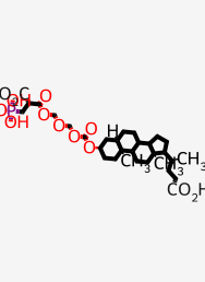 C[C@H](CCC(=O)O)C1CCC2C3CC[C@@H]4C[C@H](OC(=O)OCOCOC(=O)C(CP(=O)(O)O)C(=O)O)CC[C@]4(C)C3CC[C@@]21C